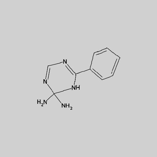 NC1(N)N=CN=C(c2ccccc2)N1